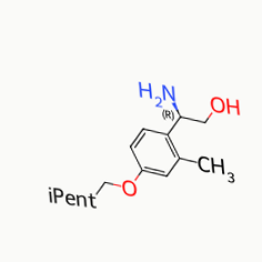 CCCC(C)COc1ccc([C@@H](N)CO)c(C)c1